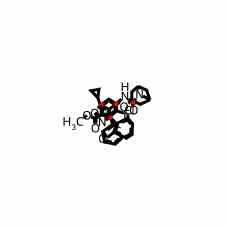 COC(=O)c1ccc(NC(=O)N2C3CC(OCc4c(-c5c(Cl)cccc5Cl)noc4C4CC4)CC2C3)c(F)c1-c1ccccc1